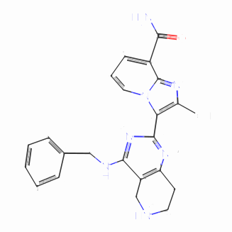 Cc1nc2c(C(N)=O)cccn2c1-c1nc2c(c(NCc3ccccc3)n1)CNCC2